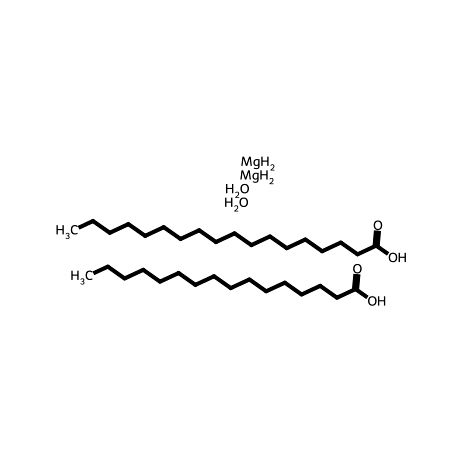 CCCCCCCCCCCCCCCC(=O)O.CCCCCCCCCCCCCCCCCC(=O)O.O.O.[MgH2].[MgH2]